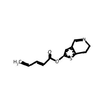 C=CC=CC(=O)Oc1cc2c(s1)CCN=C2